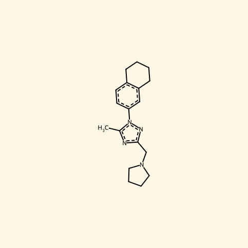 Cc1nc(CN2CCCC2)nn1-c1ccc2c(c1)CCCC2